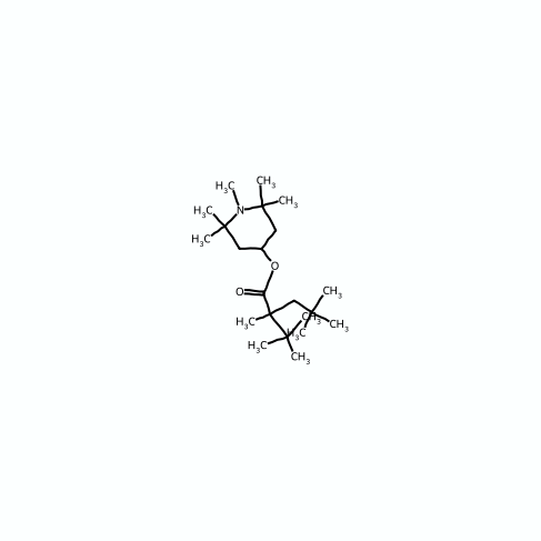 CN1C(C)(C)CC(OC(=O)C(C)(CC(C)(C)C)C(C)(C)C)CC1(C)C